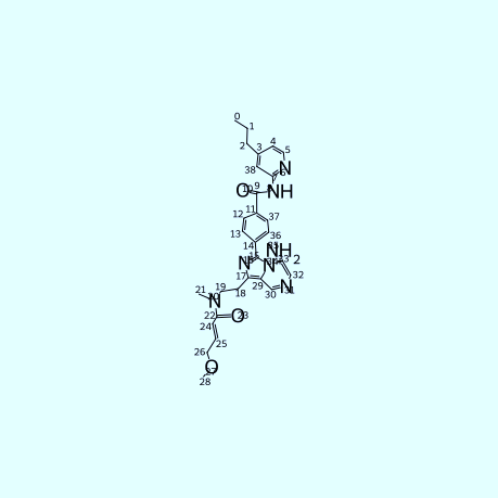 CCCc1ccnc(NC(=O)c2ccc(C3=NC(CCN(C)C(=O)/C=C/COC)=C4C=NC=C[N+]34N)cc2)c1